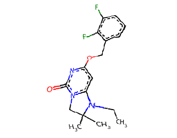 CCN1c2cc(OCc3cccc(F)c3F)nc(=O)n2CC1(C)C